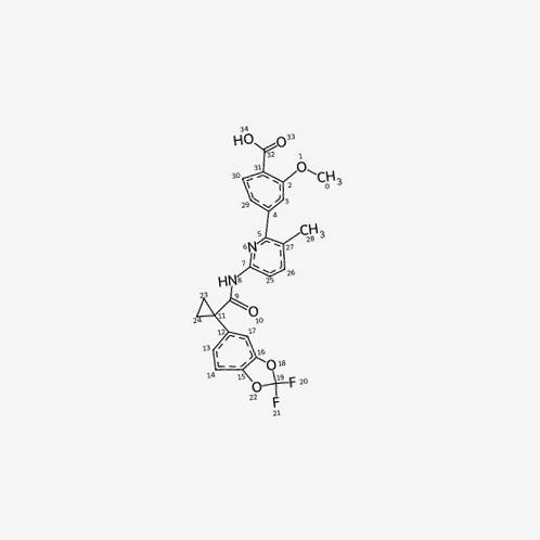 COc1cc(-c2nc(NC(=O)C3(c4ccc5c(c4)OC(F)(F)O5)CC3)ccc2C)ccc1C(=O)O